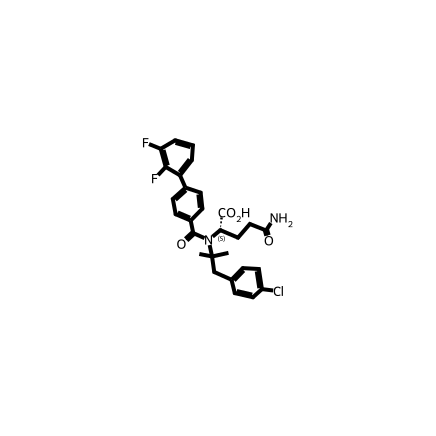 CC(C)(Cc1ccc(Cl)cc1)N(C(=O)c1ccc(-c2cccc(F)c2F)cc1)[C@@H](CCC(N)=O)C(=O)O